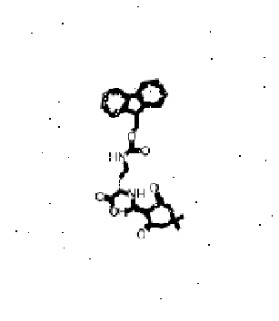 CC(N[C@@H](CCNC(=O)OCC1c2ccccc2-c2ccccc21)C(=O)O)=C1C(=O)CC(C)(C)CC1=O